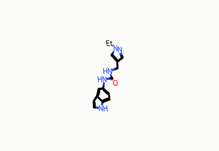 CCn1cc(CNC(=O)Nc2ccc3[nH]ccc3c2)cn1